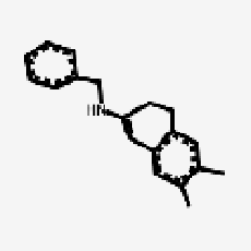 Cc1cc2c(cc1C)CCC(NCc1ccccc1)=C2